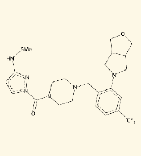 CSNc1ccn(C(=O)N2CCN(Cc3ccc(C(F)(F)F)cc3N3CC4COCC4C3)CC2)n1